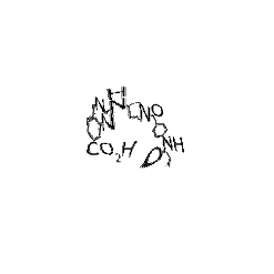 C=CC(=O)Nc1ccc(C(=O)N2CCC(Nc3ncc4ccc(C(=O)O)cc4n3)C2)cc1